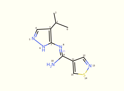 CC(C)c1cn[nH]c1/N=C(\N)c1cnsc1